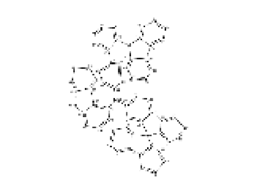 c1ccc(C2(c3ccccc3)c3ccccc3-c3ccc(N(c4ccc(-c5ccccc5-n5c6ccccc6c6ccccc65)cc4)c4cccc5oc6ccccc6c45)cc32)cc1